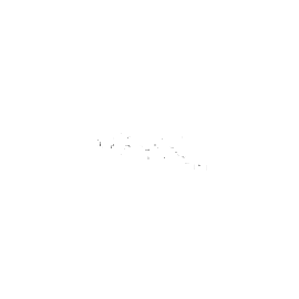 C=C1CC[C@H](OC(=O)Cl)C/C1=C/C=C1\CCC[C@@]2(C)C1CC[C@@H]2[C@H](C)CCCC(C)C